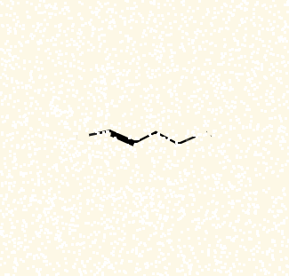 CC/C=C/CCC#N